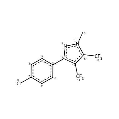 Cn1nc(-c2ccc(Cl)cc2)c(C(F)(F)F)c1C(F)(F)F